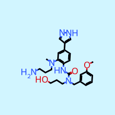 COc1cccc(CN(CCCO)C(=O)Nc2ccc(-c3cn[nH]c3)cc2N(C)CCCN)c1